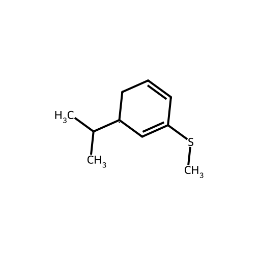 CSC1=C[C](C(C)C)CC=C1